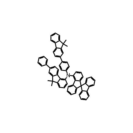 CC1(C)c2ccccc2-c2ccc(-c3ccc(N(c4cccc5c4-c4ccc(-c6ccccc6)cc4C5(C)C)c4cccc5c4-c4ccccc4C54c5ccccc5-c5ccccc54)cc3)cc21